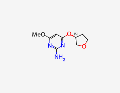 COc1cc(O[C@H]2CCOC2)nc(N)n1